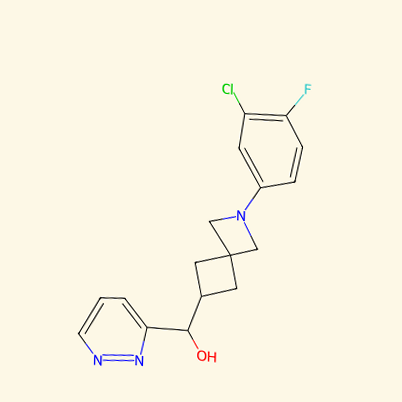 OC(c1cccnn1)C1CC2(C1)CN(c1ccc(F)c(Cl)c1)C2